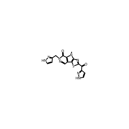 Cn1c2nc(C(=O)c3cc[nH]n3)sc2c2cnn(Cc3cc[nH]n3)c(=O)c21